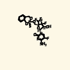 Nc1nc(=O)n([C@@H]2O[C@@](COP3(=S)OCc4ccccc4O3)(C(F)F)C(F)(F)[C@H]2O)cc1F